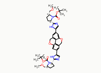 COC[C@H]1CC[C@@H](c2ncc(-c3cc4c5c(c3)OCc3cc(-c6cnc([C@@H]7CC[C@H](COC)N7C(=O)OC(C)(C)C)[nH]6)cc(c3-5)OC4)[nH]2)N1C(=O)OC(C)(C)C